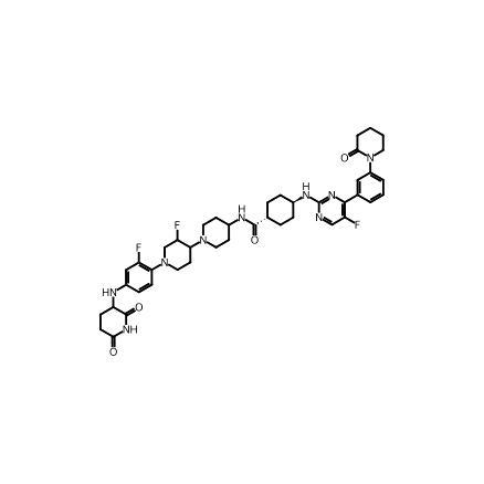 O=C1CCC(Nc2ccc(N3CCC(N4CCC(NC(=O)[C@H]5CC[C@H](Nc6ncc(F)c(-c7cccc(N8CCCCC8=O)c7)n6)CC5)CC4)C(F)C3)c(F)c2)C(=O)N1